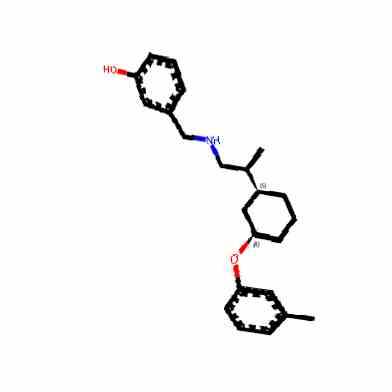 Cc1cccc(O[C@@H]2CCC[C@H](C(C)CNCc3cccc(O)c3)C2)c1